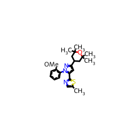 COc1ccccc1-n1nc(C2CC(C)(C)OC(C)(C)C2)cc1-c1ncc(C)s1